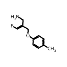 Cc1ccc(OCC(=CF)CN)cc1